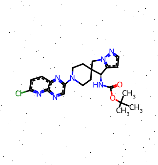 CC(C)(C)OC(=O)N[C@@H]1c2ccnn2CC12CCN(c1cnc3nc(Cl)ccc3n1)CC2